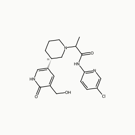 CC(C(=O)Nc1ccc(Cl)cn1)N1CCC[C@@H](c2c[nH]c(=O)c(CO)c2)C1